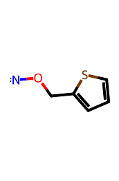 [N]OCc1cccs1